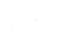 CSCc1cc(Br)cnc1N(C(=O)OC(C)(C)C)C(=O)OC(C)(C)C